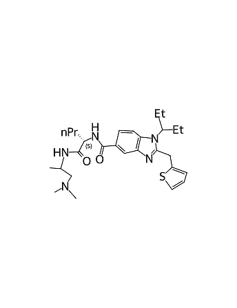 CCC[C@H](NC(=O)c1ccc2c(c1)nc(Cc1cccs1)n2C(CC)CC)C(=O)NC(C)CN(C)C